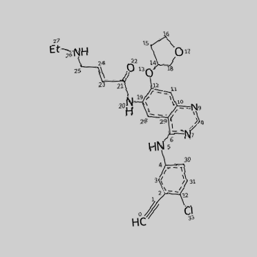 C#Cc1cc(Nc2ncnc3cc(OC4CCOC4)c(NC(=O)/C=C/CNCC)cc23)ccc1Cl